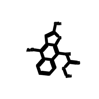 CC(=O)Oc1cc2c(OC(C)=O)c3ccccc3c(NC(=O)OC(C)(C)C)c2o1